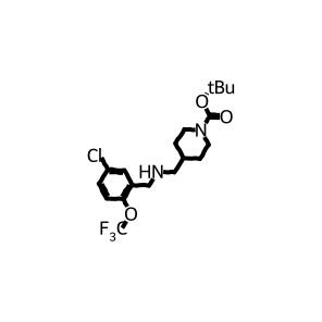 CC(C)(C)OC(=O)N1CCC(CNCc2cc(Cl)ccc2OC(F)(F)F)CC1